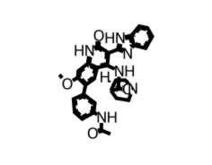 COc1cc2[nH]c(=O)c(-c3nc4ccccc4[nH]3)c(N[C@H]3CN4CCC3CC4)c2cc1-c1cccc(NC(C)=O)c1